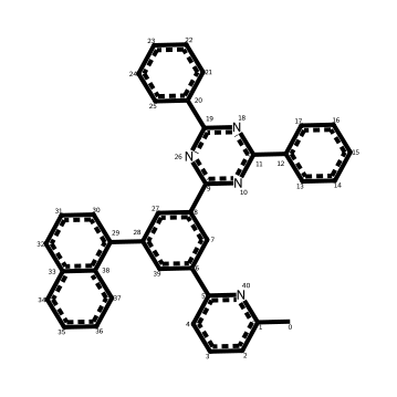 Cc1cccc(-c2cc(-c3nc(-c4ccccc4)nc(-c4ccccc4)n3)cc(-c3cccc4ccccc34)c2)n1